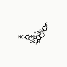 N#Cc1ccc(NC(=O)c2ccc3c(c2)S(O)(O)N(c2ccc(Cl)cc2)CC3)c(C(=O)O)c1